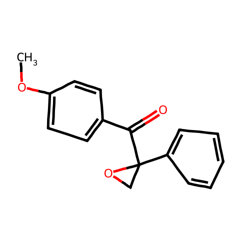 COc1ccc(C(=O)C2(c3ccccc3)CO2)cc1